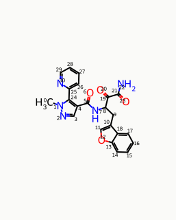 Cn1ncc(C(=O)NC(Cc2coc3ccccc23)C(=O)C(N)=O)c1-c1ccccn1